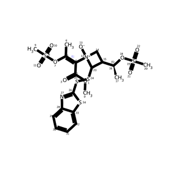 COC(=O)/C(=C(/C)OS(C)(=O)=O)[N+]1([O-])CC([C@H](C)OS(C)(=O)=O)C1SSc1nc2ccccc2s1